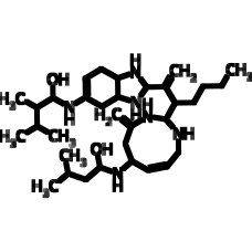 C=C1CC(NC(O)CC(C)C)/C=C\CNC(C(CCCC)C(=C)C2NC3CC=C(NC(O)C(C)C(C)C)CC3N2)N1